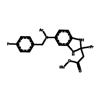 CCCC1(CC(=O)OC(C)(C)C)Nc2ccc(N(Cc3ccc(F)cc3)C(C)=O)cc2N1